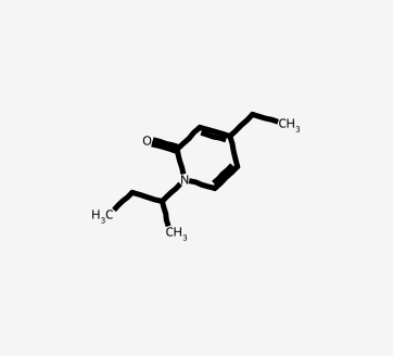 CCc1ccn(C(C)CC)c(=O)c1